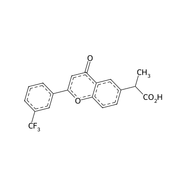 CC(C(=O)O)c1ccc2oc(-c3cccc(C(F)(F)F)c3)cc(=O)c2c1